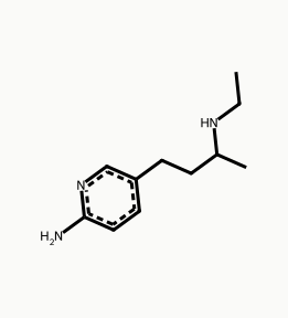 CCNC(C)CCc1ccc(N)nc1